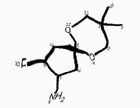 CC1(C)COC2(CC(N)C(F)C2)OC1